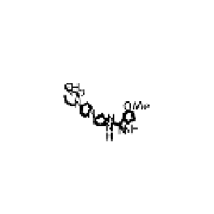 COc1ccc2[nH]nc(-c3nc4cc(N5CCC(N6CCCN(C)CC6)CC5)ccc4[nH]3)c2c1